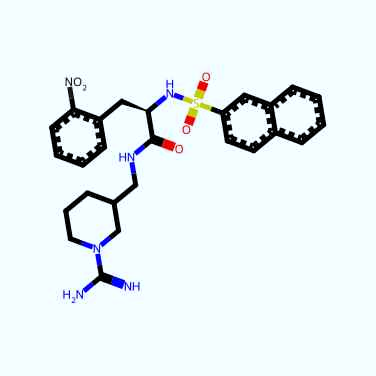 N=C(N)N1CCCC(CNC(=O)[C@@H](Cc2ccccc2[N+](=O)[O-])NS(=O)(=O)c2ccc3ccccc3c2)C1